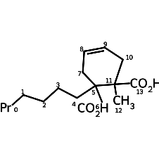 CC(C)CCCCC1(C(=O)O)CC=CCC1(C)C(=O)O